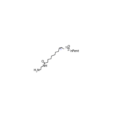 CCCCC[C@H]1O[C@H]1C/C=C\CCCCCCCC(=O)NCCN